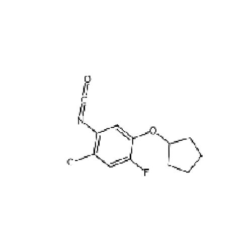 O=C=Nc1cc(OC2CCCC2)c(F)cc1Cl